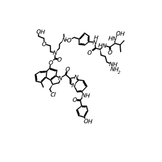 Cc1cccc2c(OC(=O)N(CCOCCO)CCN(C)OCc3ccc(NC(=O)[C@H](CCCNN)NC(=O)[C@@H](NO)C(C)C)cc3)cc3c(c12)[C@H](CCl)CN3C(=O)c1cn2cc(NC(=O)c3ccc(O)cc3)ccc2n1